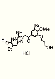 CCOc1nn2c(=N)n(CC(=O)c3cc(OCCCO)c(OC)c(C(C)(C)C)c3)nc2cc1CC.Cl